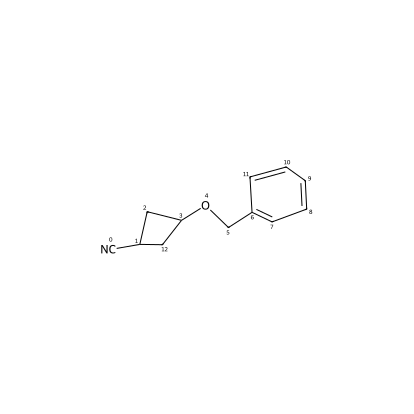 N#CC1CC(OCc2ccccc2)C1